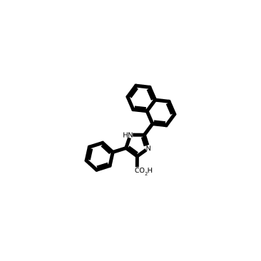 O=C(O)c1nc(-c2cccc3ccccc23)[nH]c1-c1ccccc1